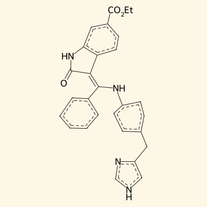 CCOC(=O)c1ccc2c(c1)NC(=O)C2=C(Nc1ccc(Cc2c[nH]cn2)cc1)c1ccccc1